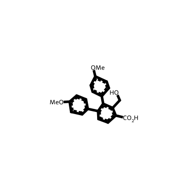 COc1ccc(-c2ccc(C(=O)O)c(CO)c2-c2ccc(OC)cc2)cc1